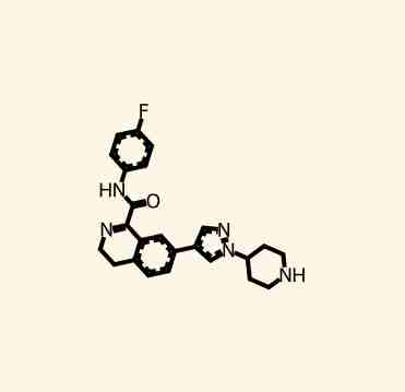 O=C(Nc1ccc(F)cc1)C1=NCCc2ccc(-c3cnn(C4CCNCC4)c3)cc21